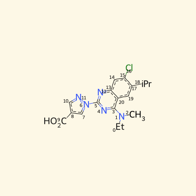 CCN(C)c1nc(-n2cc(C(=O)O)cn2)nc2cc(Cl)c(C(C)C)cc12